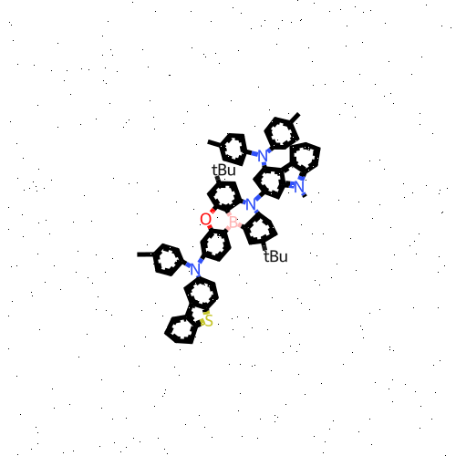 Cc1ccc(N(c2ccc3c(c2)Oc2cc(C(C)(C)C)cc4c2B3c2cc(C(C)(C)C)ccc2N4c2cc(N(c3ccc(C)cc3)c3ccc(C)cc3)c3c4ccccc4n(C)c3c2)c2ccc3sc4ccccc4c3c2)cc1